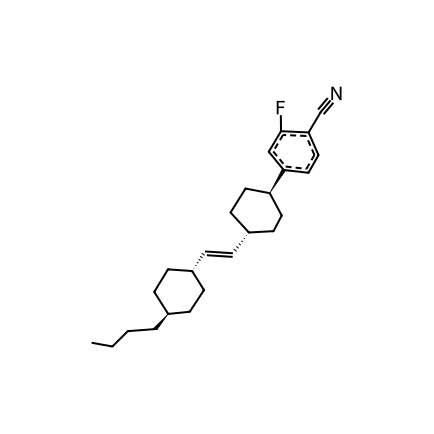 CCCC[C@H]1CC[C@H](C=C[C@H]2CC[C@H](c3ccc(C#N)c(F)c3)CC2)CC1